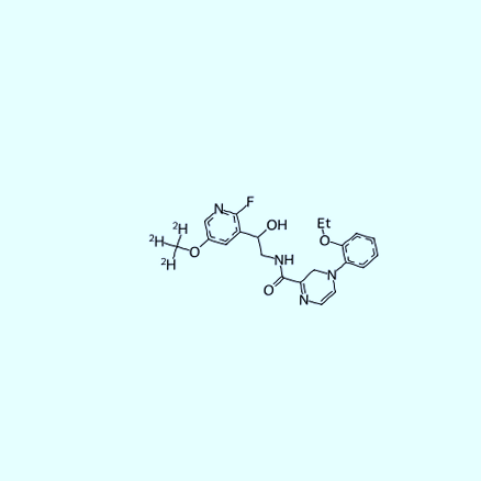 [2H]C([2H])([2H])Oc1cnc(F)c(C(O)CNC(=O)C2=NC=CN(c3ccccc3OCC)C2)c1